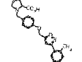 Cc1ccccc1-c1cc(COc2ccc(CN3CSCC3C(=O)O)cc2)on1